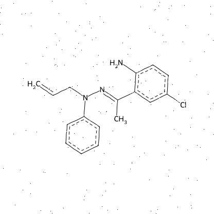 C=CCN(/N=C(\C)c1cc(Cl)ccc1N)c1ccccc1